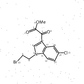 COC(=O)C(=O)c1cn(CCBr)c2ccc(Cl)cc12